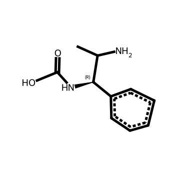 CC(N)[C@H](NC(=O)O)c1ccccc1